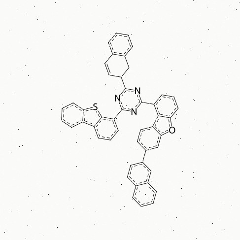 C1=CC(c2nc(-c3cccc4c3sc3ccccc34)nc(-c3cccc4oc5cc(-c6ccc7ccccc7c6)ccc5c34)n2)Cc2ccccc21